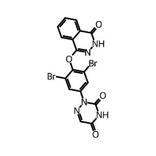 O=c1cnn(-c2cc(Br)c(Oc3n[nH]c(=O)c4ccccc34)c(Br)c2)c(=O)[nH]1